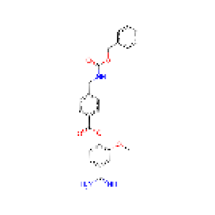 COc1cc(C(=N)N)ccc1OC(=O)c1ccc(CNC(=O)OCc2ccccc2)cc1